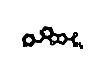 NC(=O)C1CC2Oc3c(ccnc3Cc3cccnc3)C2C1